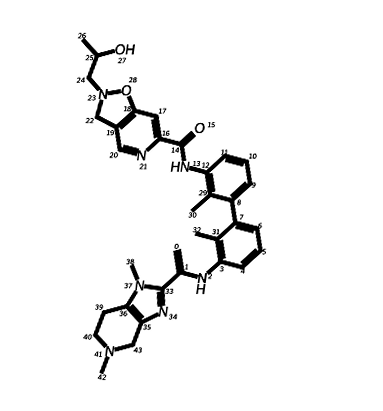 C=C(Nc1cccc(-c2cccc(NC(=O)c3cc4c(cn3)CN(CC(C)O)O4)c2C)c1C)c1nc2c(n1C)CCN(C)C2